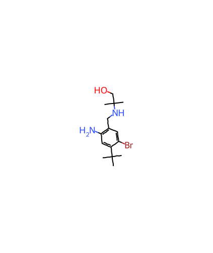 CC(C)(CO)NCc1cc(Br)c(C(C)(C)C)cc1N